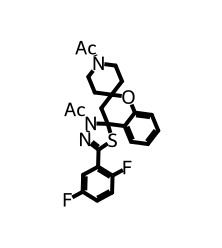 CC(=O)N1CCC2(CC1)CC1(SC(c3cc(F)ccc3F)=NN1C(C)=O)c1ccccc1O2